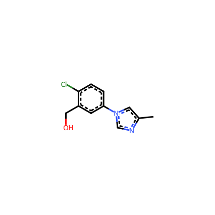 Cc1cn(-c2ccc(Cl)c(CO)c2)cn1